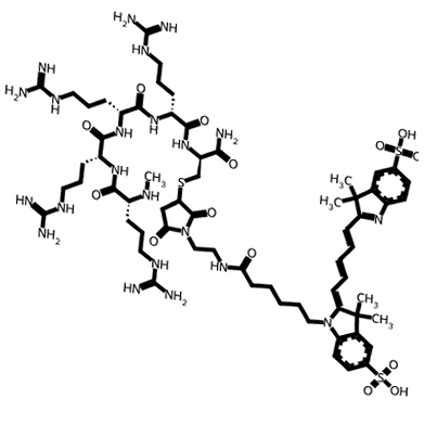 CN[C@H](CCCNC(=N)N)C(=O)N[C@H](CCCNC(=N)N)C(=O)N[C@H](CCCNC(=N)N)C(=O)N[C@H](CCCNC(=N)N)C(=O)N[C@H](CSC1CC(=O)N(CCNC(=O)CCCCCN2/C(=C/C=C/C=C/C3=Nc4ccc(S(=O)(=O)O)cc4C3(C)C)C(C)(C)c3cc(S(=O)(=O)O)ccc32)C1=O)C(N)=O